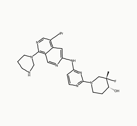 CC(C)c1cnc(N2CCCNC2)c2cnc(Nc3ccnc(N4CC[C@@H](O)[C@@](C)(F)C4)n3)cc12